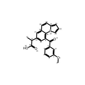 COc1cccc(C(=O)c2cc(C(C)C(=O)O)cc3ccc4cccn4c23)c1